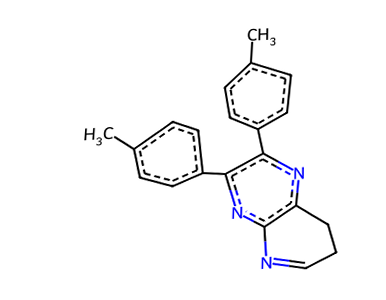 Cc1ccc(-c2nc3c(nc2-c2ccc(C)cc2)N=CCC3)cc1